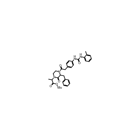 Cc1ccccc1NC(=O)Nc1ccc(CC(=O)N2CCN(C(C)C(=O)OC(C)(C)C)C(=O)C2Cc2ccccc2)cc1